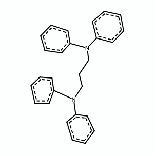 c1ccc(N(CCCN(c2ccccc2)c2ccccc2)c2ccccc2)cc1